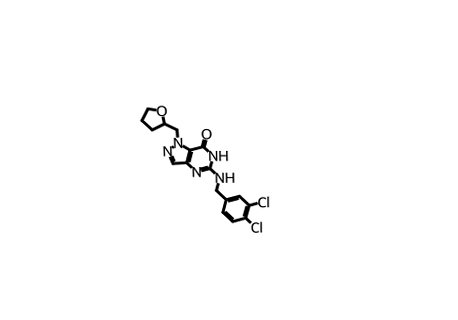 O=c1[nH]c(NCc2ccc(Cl)c(Cl)c2)nc2cnn(CC3CCCO3)c12